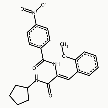 COc1ccccc1/C=C(\NC(=O)c1ccc([N+](=O)[O-])cc1)C(=O)NC1CCCC1